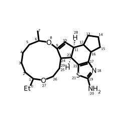 CCC1CCCCC(C)OC2=C[C@H]3C4CCCC4c4nc(N)sc4[C@H]3C2CCO1